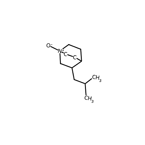 CC(C)CC1C[N+]2([O-])CCC1CC2